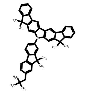 CC(C)(C)Cc1ccc2c(c1)C(C)(C)c1cc(-n3c4cc5c(cc4c4cc6c(cc43)C(C)(C)c3ccccc3-6)-c3ccccc3C5(C)C)ccc1-2